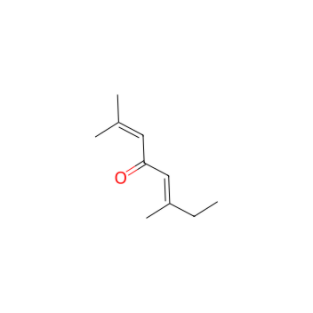 CCC(C)=CC(=O)C=C(C)C